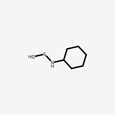 OSNC1CCCCC1